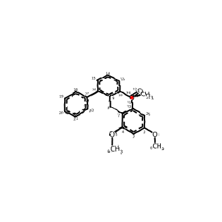 COc1cc(OC)c(Cc2c(C=O)cccc2-c2ccccc2)c(OC)c1